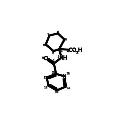 O=C(NC1(C(=O)O)CCCCC1)c1ccccn1